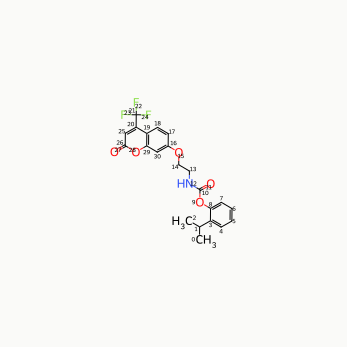 CC(C)c1ccccc1OC(=O)NCCOc1ccc2c(C(F)(F)F)cc(=O)oc2c1